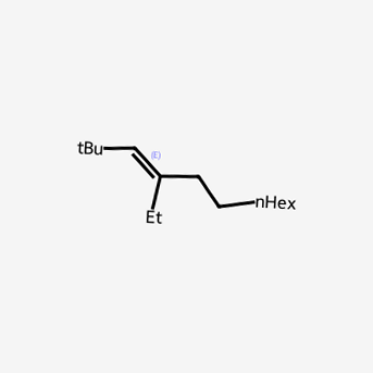 CCCCCCCC/C(=C/C(C)(C)C)CC